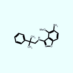 Bc1ccc2onc(NCC(C)(C)c3ccccc3)c2c1OC